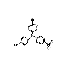 O=[N+]([O-])c1ccc(N(c2ccc(Br)cc2)c2ccc(Br)cc2)cc1